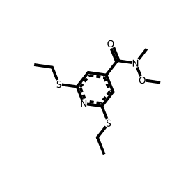 CCSc1cc(C(=O)N(C)OC)cc(SCC)n1